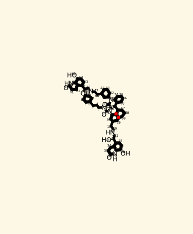 O=C(NCCCc1ccccc1)N(c1cccc(CCNC[C@@H](O)c2ccc(O)c3[nH]c(=O)ccc23)c1)N(C(=O)Nc1cccc(CCNC[C@@H](O)c2ccc(O)c3[nH]c(=O)ccc23)c1)C(c1ccccc1)c1ccccc1